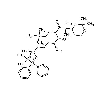 CC(CCC[C@H](C)[C@@H](O)C(CC[Si](C)(C)C)C(=O)C(C)(C)[C@@H]1CCOC(C)(C)O1)O[Si](c1ccccc1)(c1ccccc1)C(C)(C)C